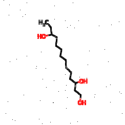 CCC(O)CCCCCCCCC(O)CCO